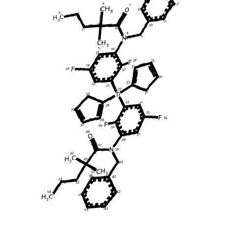 CCCC(C)(C)C(=O)N(Cc1ccccc1)c1cc(F)c[c]([Ti]([C]2=CC=CC2)([C]2=CC=CC2)[c]2cc(F)cc(N(Cc3ccccc3)C(=O)C(C)(C)CCC)c2F)c1F